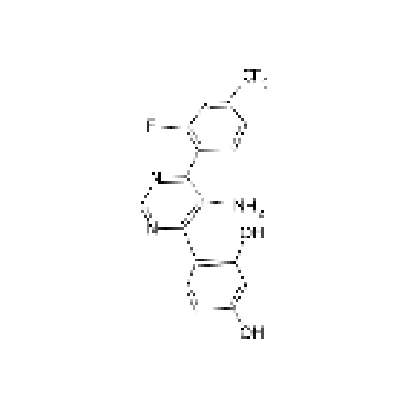 Nc1c(-c2ccc(O)cc2O)ncnc1-c1ccc(C(F)(F)F)cc1F